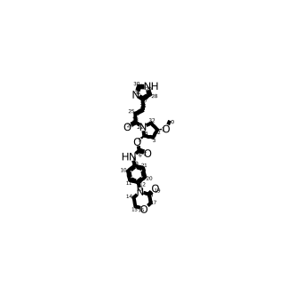 CO[C@@H]1C[C@@H](OC(=O)Nc2ccc(N3CCOCC3=O)cc2)N(C(=O)/C=C/c2c[nH]cn2)C1